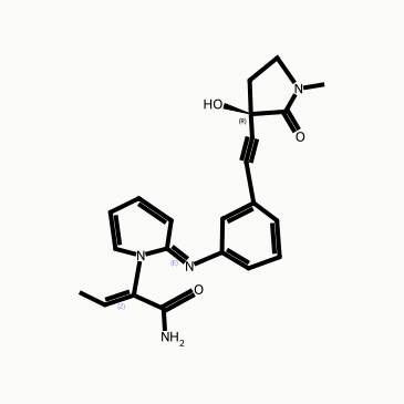 C/C=C(/C(N)=O)n1cccc/c1=N\c1cccc(C#C[C@]2(O)CCN(C)C2=O)c1